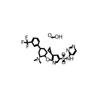 CN(C)C1CC(c2cccc(C(F)(F)F)c2)CCC1Oc1ncc(S(=O)(=O)Nc2ccncn2)cc1C1CC1.O=CO